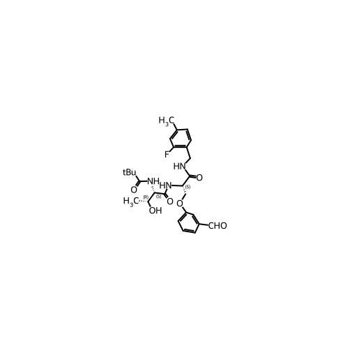 Cc1ccc(CNC(=O)[C@H](COc2cccc(C=O)c2)NC(=O)[C@@H](NC(=O)C(C)(C)C)[C@@H](C)O)c(F)c1